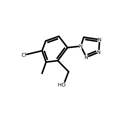 Cc1c(Cl)ccc(-n2cnnn2)c1CO